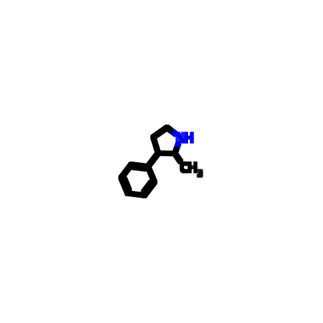 CC1NCCC1c1ccccc1